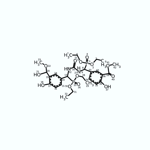 CCOP(=O)(OCC)C(NC(=O)NC(c1ccc(O)c(C(O)OC)c1)P(=O)(OCC)OCC)c1ccc(O)c(C(=O)OC)c1